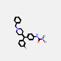 CCN(CC)C(=O)Nc1ccc(C(=C2CCN(Cc3ccccc3)CC2)c2cccc(F)c2)cc1